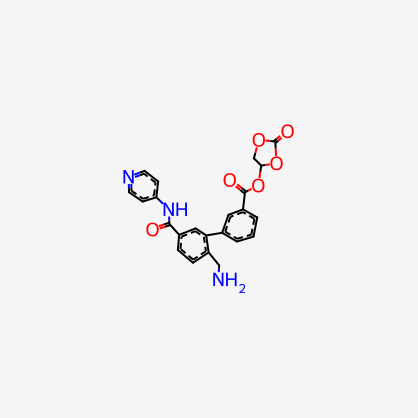 NCc1ccc(C(=O)Nc2ccncc2)cc1-c1cccc(C(=O)OC2COC(=O)O2)c1